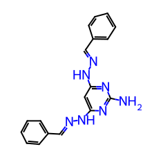 Nc1nc(NN=Cc2ccccc2)cc(NN=Cc2ccccc2)n1